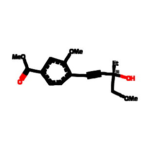 CC[C@](O)(C#Cc1ccc(C(=O)OC)cc1OC)COC